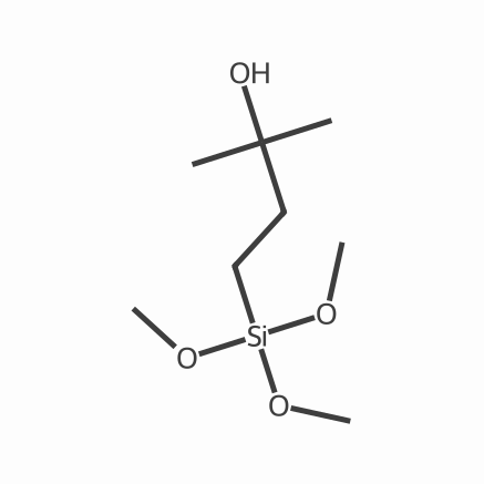 CO[Si](CCC(C)(C)O)(OC)OC